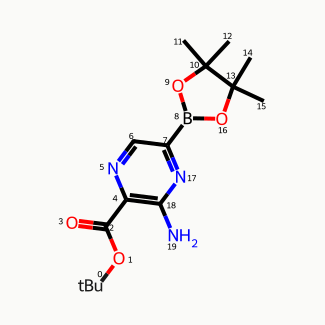 CC(C)(C)OC(=O)c1ncc(B2OC(C)(C)C(C)(C)O2)nc1N